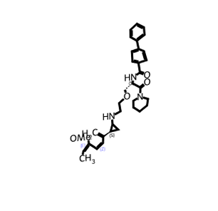 C=C(/C=C\C(=C/C)OC)[C@@H]1CC1NCCOC[C@H](NC(=O)c1ccc(-c2ccccc2)cc1)C(=O)N1CCCCC1